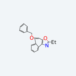 CCc1nc2c(cc(OCc3ccccc3)c3ccccc32)o1